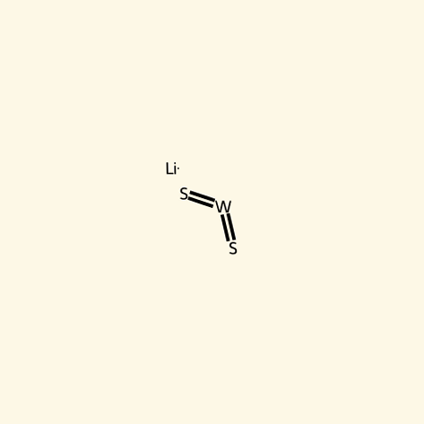 [Li].[S]=[W]=[S]